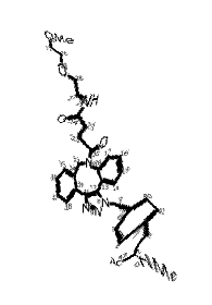 CN[C@@H](Cc1ccc(Cn2nnc3c2-c2ccccc2N(C(=O)CCC(=O)NCCOCCOC)Cc2ccccc2-3)cc1)C(C)=O